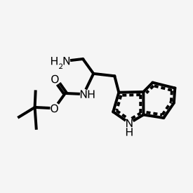 CC(C)(C)OC(=O)NC(CN)Cc1c[nH]c2ccccc12